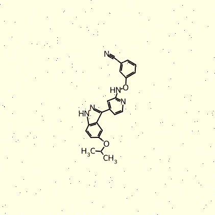 CC(C)Oc1ccc2[nH]nc(-c3ccnc(NOc4cccc(C#N)c4)c3)c2c1